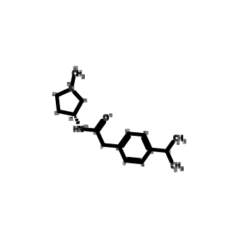 CC(C)c1ccc(CC(=O)N[C@@H]2CCN(C)C2)cc1